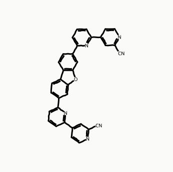 N#Cc1cc(-c2cccc(-c3ccc4c(c3)oc3cc(-c5cccc(-c6ccnc(C#N)c6)n5)ccc34)n2)ccn1